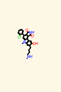 CNCCCCc1cc2c(cc1O)c1c3c(c(-c4ccccc4Cl)cc1n2C)C(=O)NC3=O